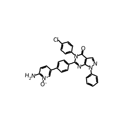 Nc1ccc(-c2ccc(-c3nc4c(cnn4-c4ccccc4)c(=O)n3-c3ccc(Cl)cc3)cc2)c[n+]1[O-]